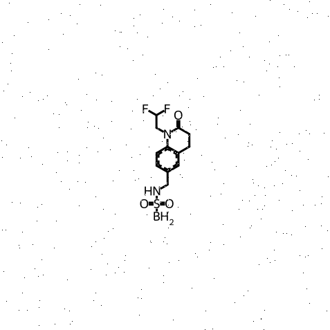 BS(=O)(=O)NCc1ccc2c(c1)CCC(=O)N2CC(F)F